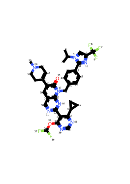 CC(C)n1cc(C(F)(F)F)nc1-c1ccc(Cn2c(=O)c(C3=CCN(C)CC3)cc3cnc(-c4c(OC(F)F)ncnc4C4CC4)nc32)cc1